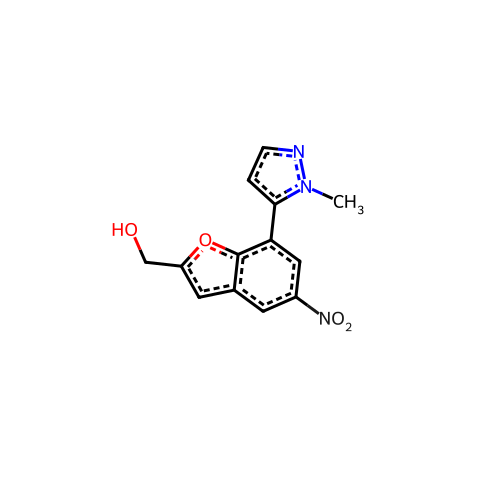 Cn1nccc1-c1cc([N+](=O)[O-])cc2cc(CO)oc12